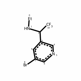 CCNC(c1cncc(Br)c1)C(F)(F)F